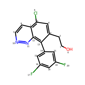 OCCc1cc(Cl)c2ccnnc2c1-c1cc(F)cc(F)c1